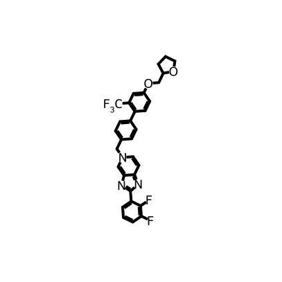 Fc1cccc(-c2nc3ccn(Cc4ccc(-c5ccc(OCC6CCCO6)cc5C(F)(F)F)cc4)cc-3n2)c1F